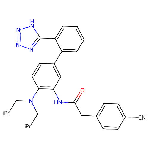 CC(C)CN(CC(C)C)c1ccc(-c2ccccc2-c2nnn[nH]2)cc1NC(=O)Cc1ccc(C#N)cc1